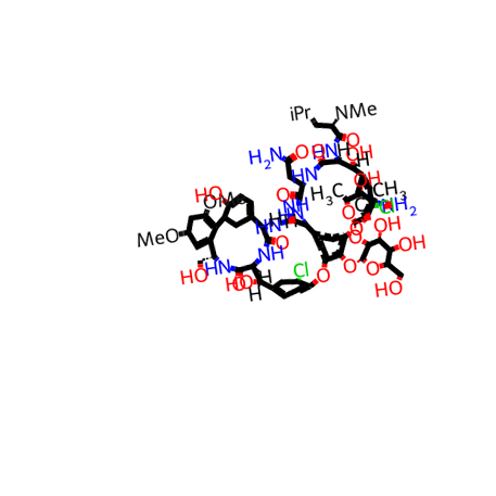 CN[C@H](CC(C)C)C(=O)N[C@H]1C(=O)NC(CC(N)=O)C(=O)N[C@H]2C(=N)N[C@H]3C(=O)N[C@H](C(=O)N[C@H](CO)C4=CC(OC)CC(OC)=C4C4CC3=CC=C4O)[C@H](O)C3=CC=C(Oc4cc2cc(c4O[C@H]2OC(CO)C(O)[C@H](O)C2O[C@H]2CC(C)(N)[C@H](O)C(C)O2)OC2=C(Cl)C=C(CC2)[C@H]1O)C(Cl)C3